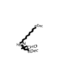 CCCCCCCCCCCCCCCCCCC1CNC(C(C)(CC=O)CCCCCCCCCCCC)=N1